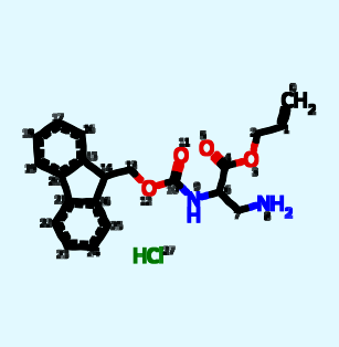 C=CCOC(=O)C(CN)NC(=O)OCC1c2ccccc2-c2ccccc21.Cl